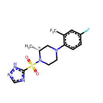 C[C@@H]1CN(c2ccc(F)cc2C(F)(F)F)CCN1S(=O)(=O)c1ncn[nH]1